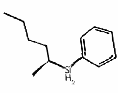 CCCC[C@H](C)[SiH2]c1ccccc1